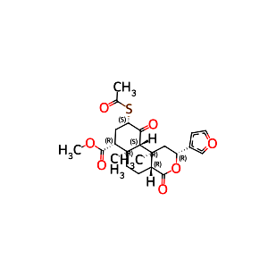 COC(=O)[C@@H]1C[C@H](SC(C)=O)C(=O)[C@H]2[C@@]1(C)CC[C@H]1C(=O)O[C@@H](c3ccoc3)C[C@]21C